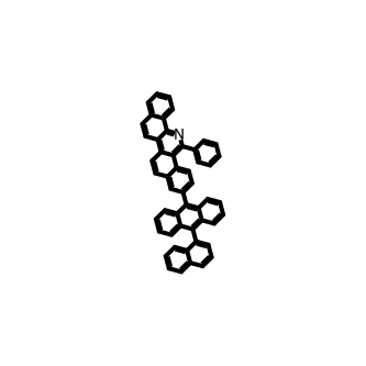 c1ccc(-c2nc3c4ccccc4ccc3c3ccc4cc(-c5c6ccccc6c(-c6cccc7ccccc67)c6ccccc56)ccc4c23)cc1